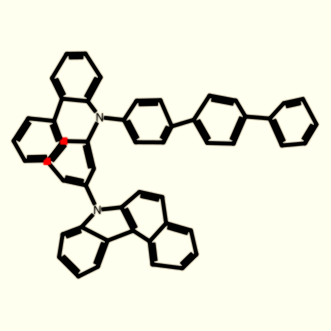 c1ccc(-c2ccc(-c3ccc(N(c4cccc(-n5c6ccccc6c6c7ccccc7ccc65)c4)c4ccccc4-c4ccccc4)cc3)cc2)cc1